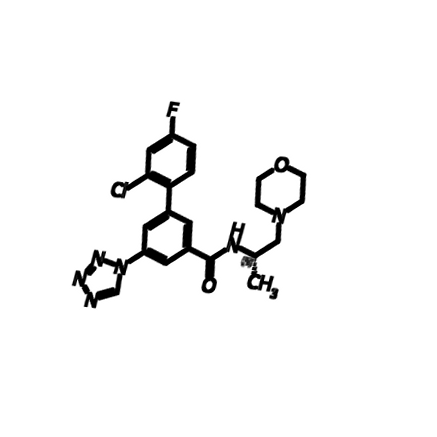 C[C@@H](CN1CCOCC1)NC(=O)c1cc(-c2ccc(F)cc2Cl)cc(-n2cnnn2)c1